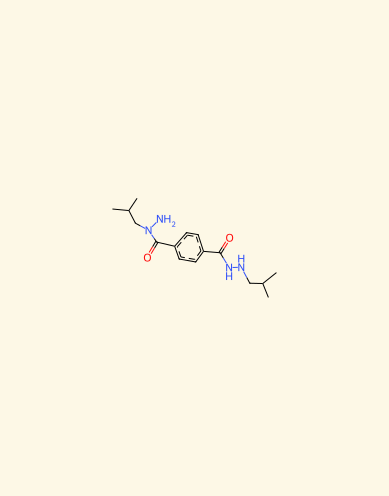 CC(C)CNNC(=O)c1ccc(C(=O)N(N)CC(C)C)cc1